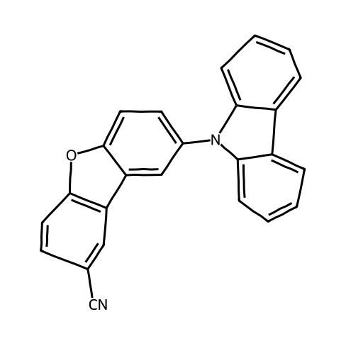 N#Cc1ccc2oc3ccc(-n4c5ccccc5c5ccccc54)cc3c2c1